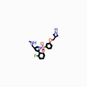 CNCc1cc(-c2ccccc2F)n(S(=O)(=O)c2cccc(OCC3CNC3)c2)c1